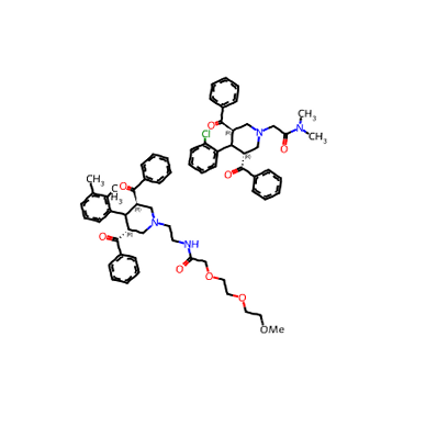 CN(C)C(=O)CN1C[C@H](C(=O)c2ccccc2)C(c2ccccc2Cl)[C@@H](C(=O)c2ccccc2)C1.COCCOCCOCC(=O)NCCN1C[C@H](C(=O)c2ccccc2)C(c2cccc(C)c2C)[C@@H](C(=O)c2ccccc2)C1